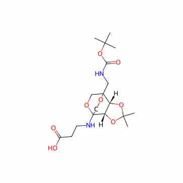 CC(C)(C)OC(=O)NCC12COC(NCCC(=O)O)(CO1)[C@H]1OC(C)(C)O[C@H]12